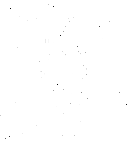 CC(=O)c1c(OC(C)C)nnn1C